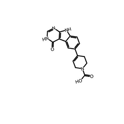 O=C(O)N1CC=C(c2ccc3[nH]c4nc[nH]c(=O)c4c3c2)CC1